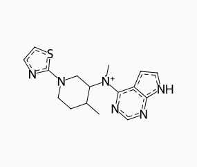 CC1CCN(c2nccs2)CC1[N+](C)c1ncnc2[nH]ccc12